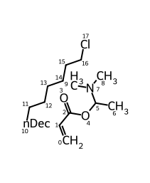 C=CC(=O)OC(C)N(C)C.CCCCCCCCCCCCCCCCCl